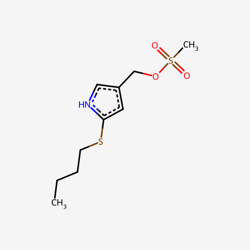 CCCCSc1cc(COS(C)(=O)=O)c[nH]1